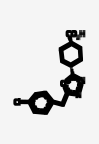 O=C(O)[C@H]1CC[C@H](c2nnc(Cc3ccc(Cl)cc3)o2)CC1